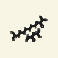 C=C(C)C(=O)OCCCCCCCC(C)C.C=CC(=O)OC(C)C